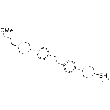 COCCC[C@H]1CC[C@H](c2ccc(CCc3ccc([C@H]4CC[C@H]([SiH2]C)CC4)cc3)cc2)CC1